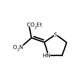 CCOC(=O)C(=C1NCCS1)[N+](=O)[O-]